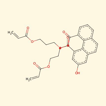 C=CC(=O)OCCCOC(=O)c1cccc2ccc3cc(O)cc(C(=O)OCCCOC(=O)C=C)c3c12